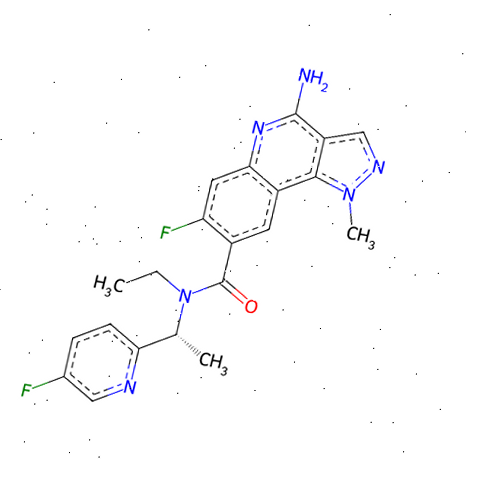 CCN(C(=O)c1cc2c(cc1F)nc(N)c1cnn(C)c12)[C@H](C)c1ccc(F)cn1